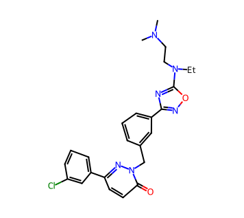 CCN(CCN(C)C)c1nc(-c2cccc(Cn3nc(-c4cccc(Cl)c4)ccc3=O)c2)no1